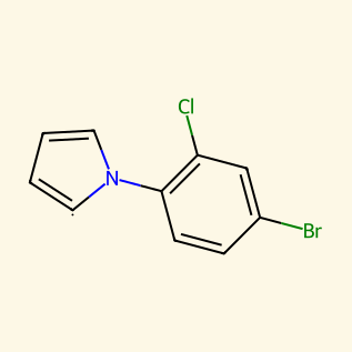 Clc1cc(Br)ccc1-n1[c]ccc1